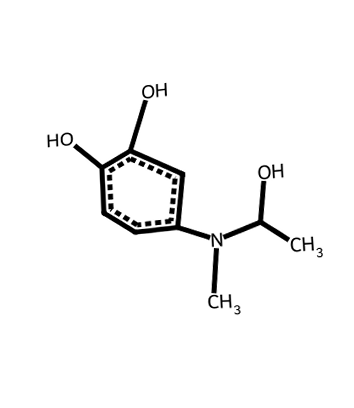 CC(O)N(C)c1ccc(O)c(O)c1